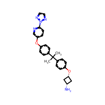 CC(C)(c1ccc(Oc2ccc(-n3nccn3)nc2)cc1)c1ccc(O[C@H]2C[C@@H](N)C2)cc1